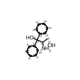 CC(N)C(O)(c1ccccc1)c1ccccc1.Cl